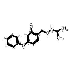 CC(C)NOCc1ccc(Oc2ccccc2)cc1Cl